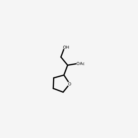 CC(=O)OC(CO)C1CCCO1